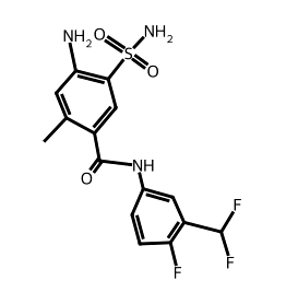 Cc1cc(N)c(S(N)(=O)=O)cc1C(=O)Nc1ccc(F)c(C(F)F)c1